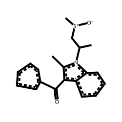 Cc1c(C(=O)c2ccccc2)c2ccccc2n1C(C)C[S+](C)[O-]